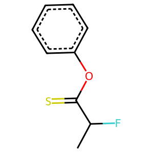 CC(F)C(=S)Oc1ccccc1